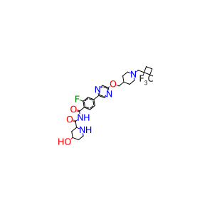 O=C(NC(=O)C1CC(O)CCN1)c1ccc(-c2cnc(OCC3CCN(CC4(C(F)(F)F)CCC4)CC3)cn2)cc1F